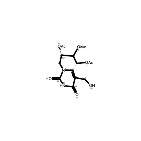 COC(COC(C)=O)[C@H](Cn1cc(CO)c(=O)[nH]c1=O)OC(C)=O